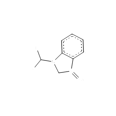 FC(F)N1CS(=[Se])c2ccccc21